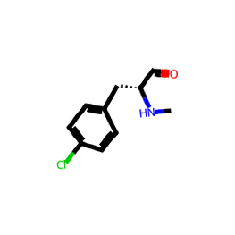 CN[C@@H]([C]=O)Cc1ccc(Cl)cc1